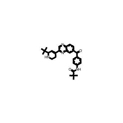 CC(C)(C)C(=O)Nc1ccc(C(=O)c2ccc3ncc(C4=CC(C(C)(C)C)NCC4)nc3c2)cc1